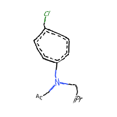 CC(=O)N(CC(C)C)c1ccc(Cl)cc1